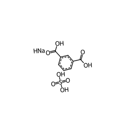 O=C(O)c1cccc(C(=O)O)c1.O=S(=O)(O)O.[NaH]